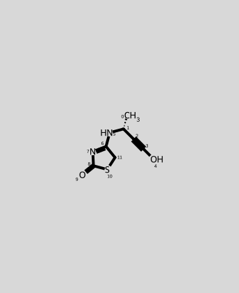 C[C@H](C#CO)NC1=NC(=O)SC1